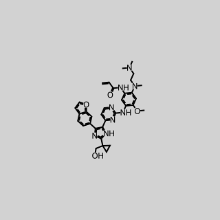 C=CC(=O)Nc1cc(Nc2nccc(-c3[nH]c(C4(CO)CC4)nc3-c3ccc4ccoc4c3)n2)c(OC)cc1N(C)CCN(C)C